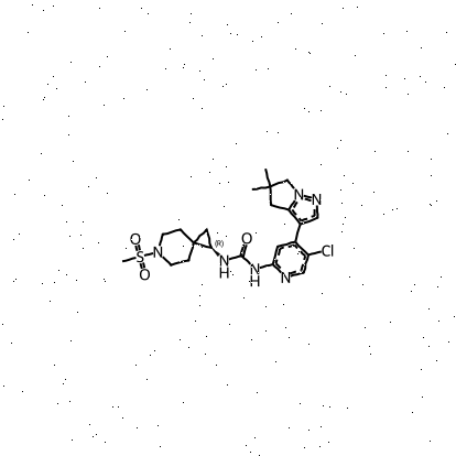 CC1(C)Cc2c(-c3cc(NC(=O)N[C@@H]4CC45CCN(S(C)(=O)=O)CC5)ncc3Cl)cnn2C1